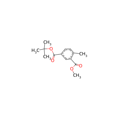 COC(=O)c1cc(C(=O)OC(C)(C)C)ccc1C